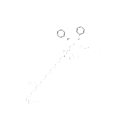 CCCCCCCCCCCCCC[C@@H](O)CCCCCCCCCCC(=O)N[C@@H](CO)[C@H](OC(=O)c1ccccc1)[C@@H](CCCCCCCCCCCCCC)OC(=O)c1ccccc1